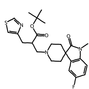 CN1C(=O)C2(CCN(CC(Cc3cscn3)C(=O)OC(C)(C)C)CC2)c2cc(F)ccc21